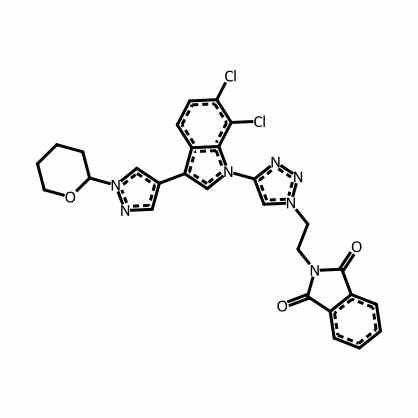 O=C1c2ccccc2C(=O)N1CCn1cc(-n2cc(-c3cnn(C4CCCCO4)c3)c3ccc(Cl)c(Cl)c32)nn1